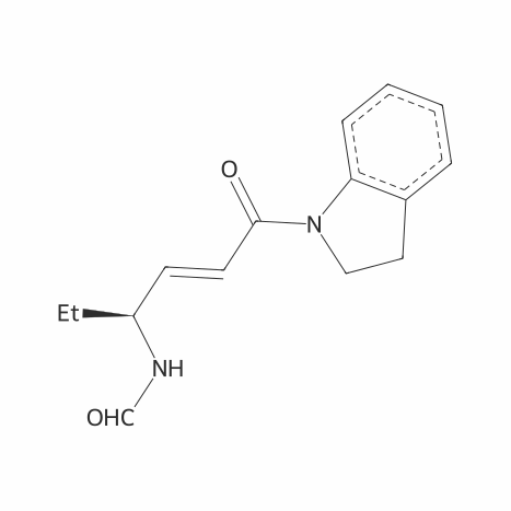 CC[C@@H](/C=C/C(=O)N1CCc2ccccc21)NC=O